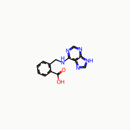 O=C(O)c1ccccc1CNc1ncnc2[nH]cnc12